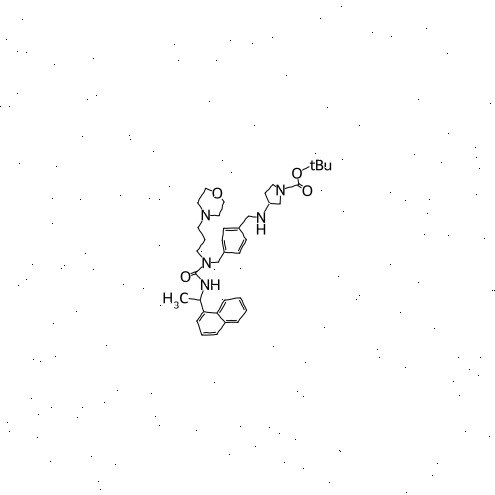 CC(NC(=O)N(CCCN1CCOCC1)Cc1ccc(CNC2CCN(C(=O)OC(C)(C)C)C2)cc1)c1cccc2ccccc12